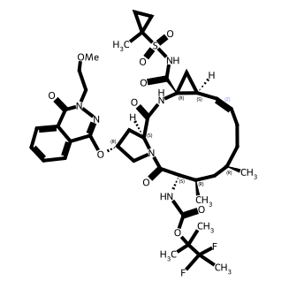 COCCn1nc(O[C@@H]2C[C@H]3C(=O)N[C@]4(C(=O)NS(=O)(=O)C5(C)CC5)C[C@H]4/C=C\CC[C@@H](C)C[C@@H](C)[C@H](NC(=O)OC(C)(C)C(C)(F)F)C(=O)N3C2)c2ccccc2c1=O